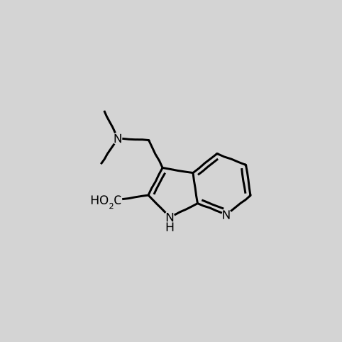 CN(C)Cc1c(C(=O)O)[nH]c2ncccc12